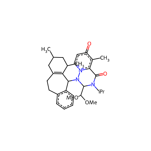 COC(OC)C1N(C(C)C)C(=O)c2c(C)c(=O)ccn2N1C1C2=C(CCc3ccccc31)CC(C)CC2C